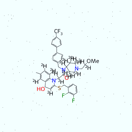 [2H]C1=C(SCc2cccc(F)c2F)N(C([2H])([2H])C(=O)N(Cc2ccc(-c3ccc(C(F)(F)F)cc3)cc2)C2([2H])C([2H])([2H])C([2H])([2H])N(CC([2H])([2H])OC)C([2H])([2H])C2([2H])[2H])c2c([2H])c([2H])c(C)c([2H])c2C1O